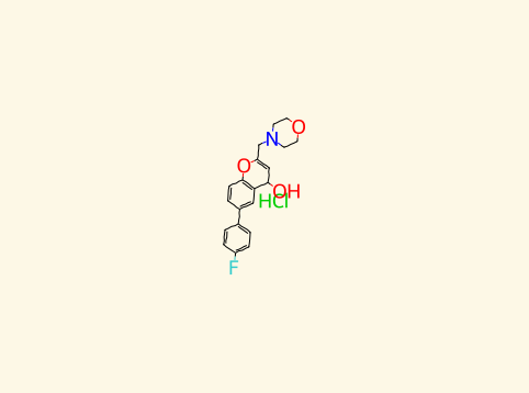 Cl.OC1C=C(CN2CCOCC2)Oc2ccc(-c3ccc(F)cc3)cc21